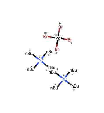 CCCC[N+](CCCC)(CCCC)CCCC.CCCC[N+](CCCC)(CCCC)CCCC.[Br][Pd-2]([Br])([Br])[Br]